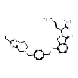 CNC(=O)C(CCC=O)N1Cc2c(OCc3ccc(CN4CCn5nc(CF)nc5C4)cc3)cccc2C1=O